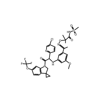 COc1cc(NC(C(=O)N2CC3(CC3)c3ccc(OC(F)(F)F)cc32)c2ccc(Cl)cn2)cc(C(C)=NOC(C)(C)C(=O)NS(C)(=O)=O)c1